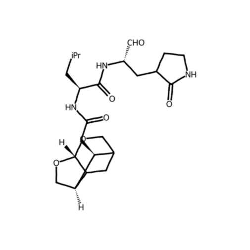 CC(C)C[C@H](NC(=O)C[C@H]1C2CO[C@H]3OC[C@@H]1C3C2)C(=O)N[C@H](C=O)CC1CCNC1=O